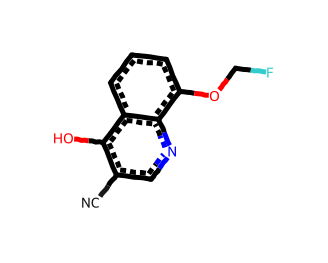 N#Cc1cnc2c(OCF)cccc2c1O